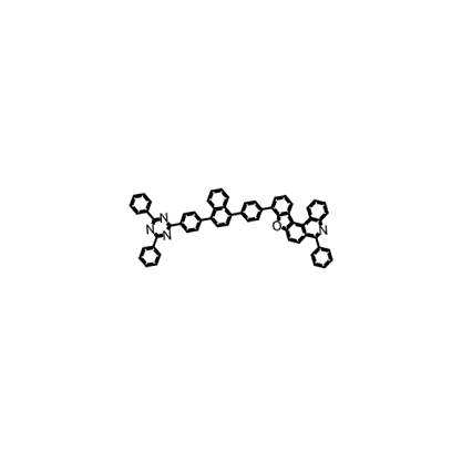 c1ccc(-c2nc(-c3ccccc3)nc(-c3ccc(-c4ccc(-c5ccc(-c6cccc7c6oc6ccc8c(-c9ccccc9)nc9ccccc9c8c67)cc5)c5ccccc45)cc3)n2)cc1